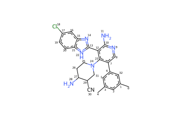 Cc1cc(C)cc(-c2cnc(N)c(-c3nc4cc(Cl)ccc4[nH]3)c2N2CCC(N)C(C#N)C2)c1